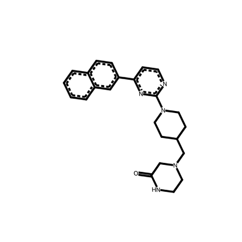 O=C1CN(CC2CCN(c3nccc(-c4ccc5ccccc5c4)n3)CC2)CCN1